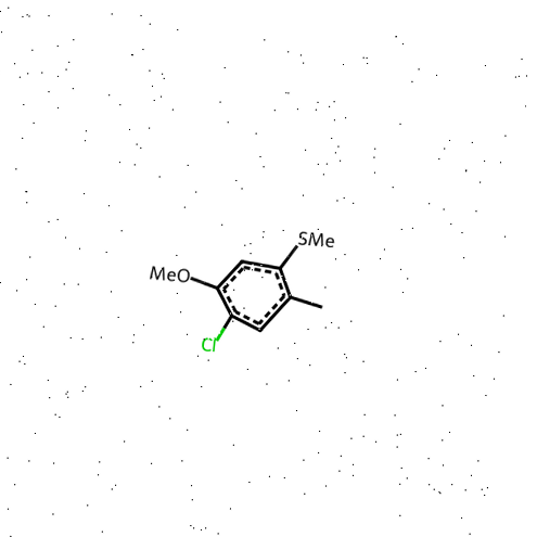 COc1cc(SC)c(C)cc1Cl